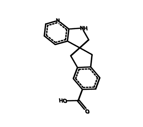 O=C(O)c1ccc2c(c1)CC1(CNc3ncccc31)C2